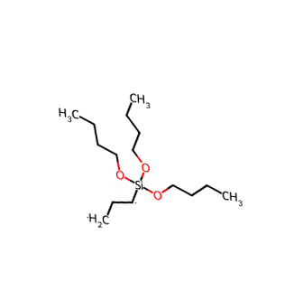 [CH2]C[CH][Si](OCCCC)(OCCCC)OCCCC